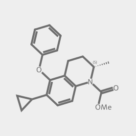 COC(=O)N1c2ccc(C3CC3)c(Oc3ccccc3)c2CC[C@@H]1C